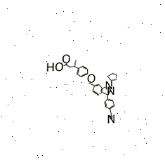 CC(CC(=O)O)c1ccc(OCc2ccc3c(-c4ccc(C#N)cc4)nn(C4CCCC4)c3c2)cc1